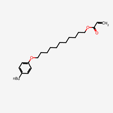 C=CC(=O)OCCCCCCCCCCCOc1ccc(CCCC)cc1